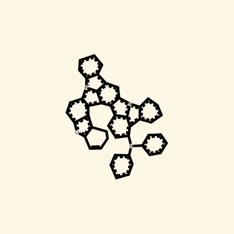 C1=Cc2oc3ccc4c(c3c2CC1)c1c2c3ccc(N(c5ccccc5)c5ccccc5)c5c6ccccc6n(c2cc2c6ccccc6n4c21)c35